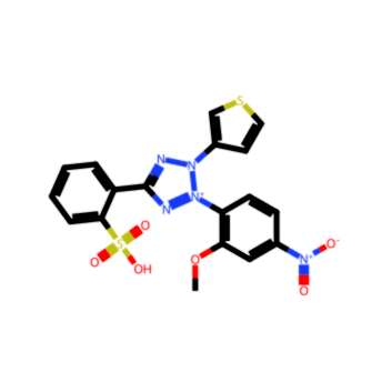 COc1cc([N+](=O)[O-])ccc1-[n+]1nc(-c2ccccc2S(=O)(=O)O)nn1-c1ccsc1